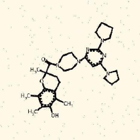 Cc1c(C)c2c(c(C)c1O)CCC(C)(C(=O)N1CCN(c3cc(N4CCCC4)nc(N4CCCC4)n3)CC1)O2